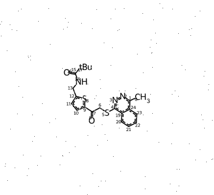 Cc1nnc(SCC(=O)c2ccc(CNC(=O)C(C)(C)C)s2)c2ccccc12